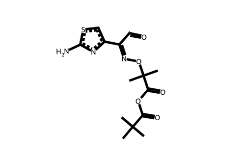 CC(C)(C)C(=O)OC(=O)C(C)(C)O/N=C(\[C]=O)c1csc(N)n1